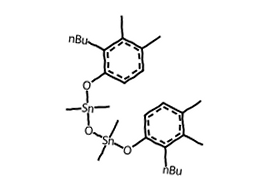 CCCCc1c([O][Sn]([CH3])([CH3])[O][Sn]([CH3])([CH3])[O]c2ccc(C)c(C)c2CCCC)ccc(C)c1C